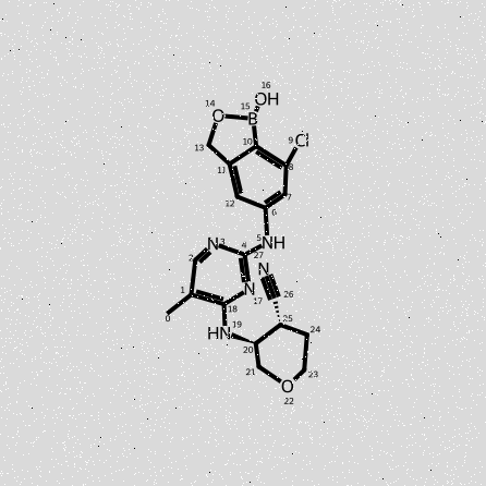 Cc1cnc(Nc2cc(Cl)c3c(c2)COB3O)nc1N[C@@H]1COCC[C@H]1C#N